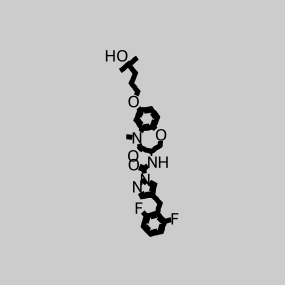 CN1C(=O)[C@@H](NC(=O)n2cc(Cc3c(F)cccc3F)cn2)COc2ccc(OCCCC(C)(C)O)cc21